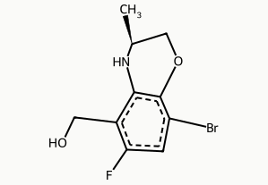 C[C@H]1COc2c(Br)cc(F)c(CO)c2N1